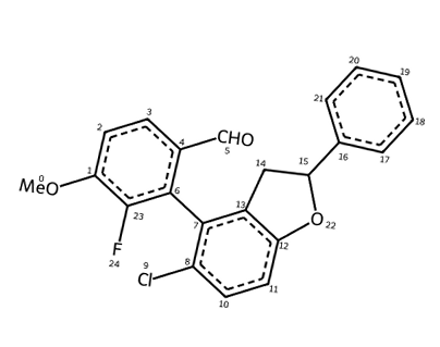 COc1ccc(C=O)c(-c2c(Cl)ccc3c2CC(c2ccccc2)O3)c1F